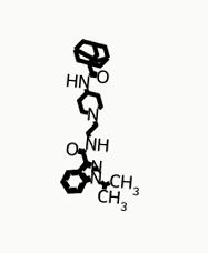 CC(C)n1nc(C(=O)NCCN2CCC(NC(=O)C34CC5CC(CC(C5)C3)C4)CC2)c2ccccc21